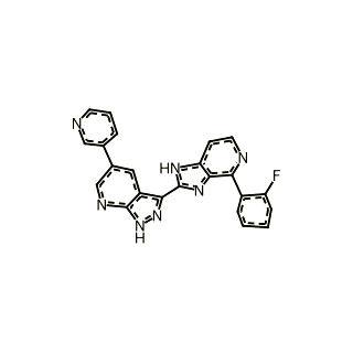 Fc1ccccc1-c1nccc2[nH]c(-c3n[nH]c4ncc(-c5cccnc5)cc34)nc12